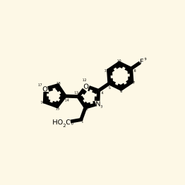 O=C(O)Cc1nc(-c2ccc(F)cc2)oc1-c1ccoc1